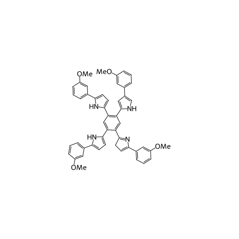 COc1cccc(C2=CCC(c3cc(-c4cc(-c5cccc(OC)c5)c[nH]4)c(-c4ccc(-c5cccc(OC)c5)[nH]4)cc3-c3ccc(-c4cccc(OC)c4)[nH]3)=N2)c1